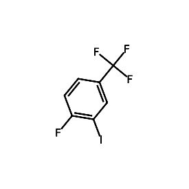 Fc1ccc(C(F)(F)F)cc1I